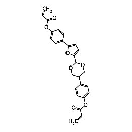 C=CC(=O)Oc1ccc(-c2ccc(C3OCC(c4ccc(OC(=O)C=C)cc4)CO3)o2)cc1